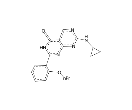 CCCOc1ccccc1-c1nc2nc(NC3CC3)ncc2c(=O)[nH]1